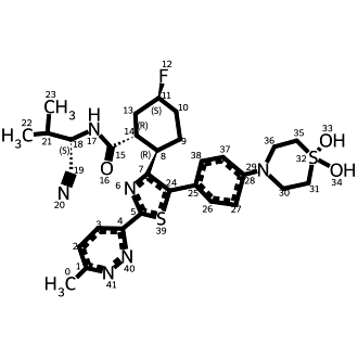 Cc1ccc(-c2nc([C@@H]3CC[C@H](F)C[C@H]3C(=O)N[C@H](C#N)C(C)C)c(-c3ccc(N4CCS(O)(O)CC4)cc3)s2)nn1